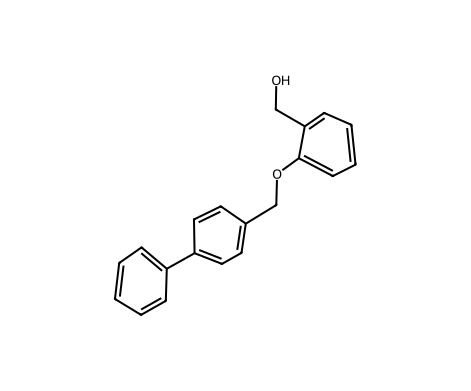 OCc1ccccc1OCc1ccc(-c2ccccc2)cc1